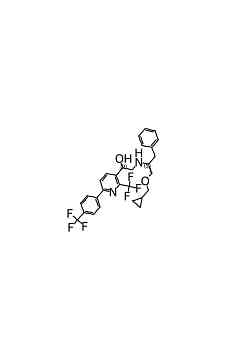 O[C@@H](CN[C@H](COCC1CC1)Cc1ccccc1)c1ccc(-c2ccc(C(F)(F)F)cc2)nc1C(F)(F)F